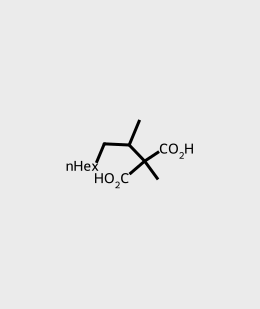 CCCCCCCC(C)C(C)(C(=O)O)C(=O)O